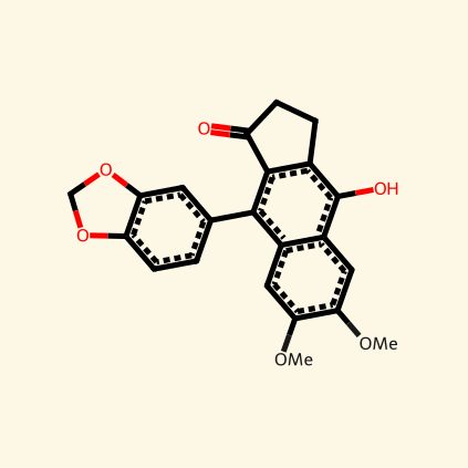 COc1cc2c(O)c3c(c(-c4ccc5c(c4)OCO5)c2cc1OC)C(=O)CC3